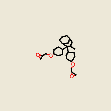 CC1CC2CCCC(C2)C1(C1CCC(OCC2CO2)CC1)C1CCC(OCC2CO2)CC1